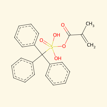 C=C(C)C(=O)OS(=O)(O)(O)C(c1ccccc1)(c1ccccc1)c1ccccc1